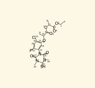 CCOC(=O)C(C)OC(=O)C(C)Oc1cc(N2C(=O)N(C)C(S)N(C)C2=O)c(F)cc1Cl